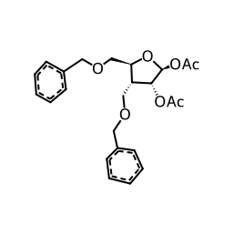 CC(=O)O[C@@H]1O[C@H](COCc2ccccc2)[C@@H](COCc2ccccc2)[C@H]1OC(C)=O